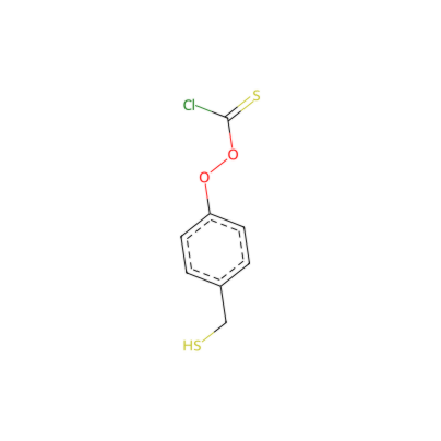 S=C(Cl)OOc1ccc(CS)cc1